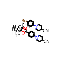 CC1(C)OB(c2ccc(N3CCC(C#N)CC3)cc2)OC1(C)C.N#CC1CCN(c2ccc(Br)cc2)CC1